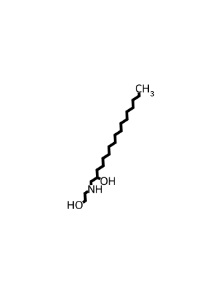 CCCCCCCCCCCCCCCC(O)CNCCO